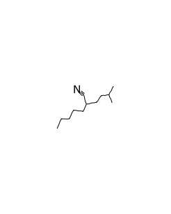 CCCCCC(C#N)CCC(C)C